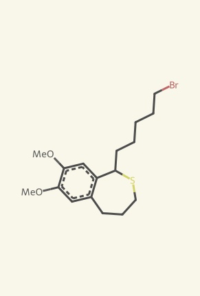 COc1cc2c(cc1OC)C(CCCCCBr)SCCC2